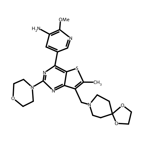 COc1ncc(-c2nc(N3CCOCC3)nc3c(CN4CCC5(CC4)OCCO5)c(C)sc23)cc1N